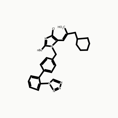 CCCCc1nc(Cl)c(C=C(CC2CCCCC2)C(=O)O)n1Cc1ccc(-c2ccccc2-n2cnnn2)cc1